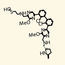 C=C1CC[C@@H](CNCc2ncc(-c3cccc(-c4cccc(-c5cnc(CNCCSO)c(OC)n5)c4Cl)c3Cl)nc2OC)N1